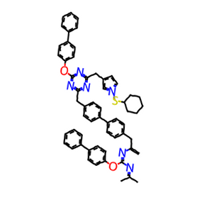 C=C(Cc1ccc(-c2ccc(Cc3nc(Cc4ccn(SC5CCCCC5)c4)nc(Oc4ccc(-c5ccccc5)cc4)n3)cc2)cc1)/N=C(\N=C(C)C)Oc1ccc(-c2ccccc2)cc1